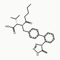 C=C1NN=NN1c1ccccc1-c1ccc(CN(C(=O)CCCC)[C@H](C(=O)O)C(C)C)cc1